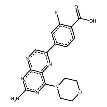 Nc1nc(N2CCOCC2)c2nc(-c3ccc(C(=O)O)c(F)c3)cnc2n1